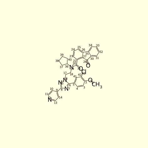 COc1ccc(-c2nc(-c3ccncc3)nn2CCN(C(=O)c2cccc3c2C(=O)c2ccccc2-3)C2CCCC2)cc1Cl